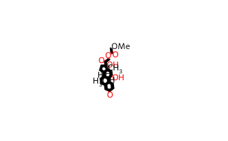 COCC(=O)OCC(=O)[C@@]1(O)CC[C@H]2[C@@H]3CCC4=CC(=O)C=C[C@]4(C)[C@H]3C(O)C[C@@]21C